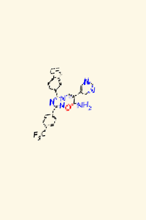 NC(=O)/C(=C\n1nc(-c2ccc(C(F)(F)F)cc2)nc1-c1ccc(C(F)(F)F)cc1)c1cncnc1